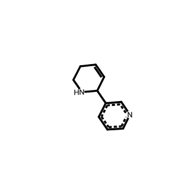 C1=CC(c2cccnc2)NCC1